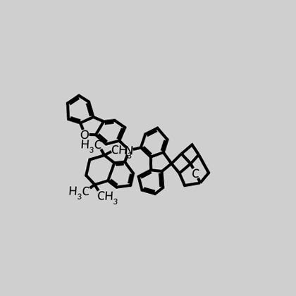 CC1(C)CCC(C)(C)c2c(N(c3ccc4c(c3)oc3ccccc34)c3cccc4c3-c3ccccc3C43C4CC5CC6CC3C64C5)cccc21